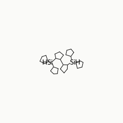 C1CCC([SiH](C2CCCC2)C2CCCC2C2CCCC2[SiH](C2CCCC2)C2CCCC2)C1